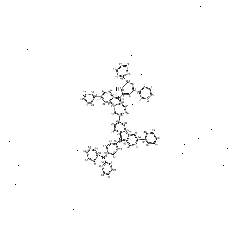 C1=C(c2ccccc2)C=C(n2c3ccc(-c4ccccc4)cc3c3cc(-c4ccc5c(c4)c4cc(-c6ccccc6)ccc4n5-c4ccc(N(c5ccccc5)c5ccccc5)cc4)ccc32)NC1c1ccccc1